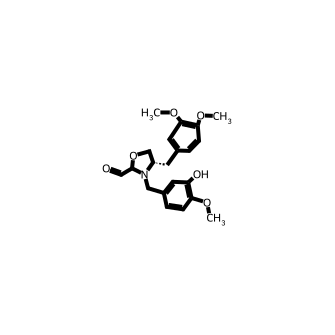 COc1ccc(CN2C(C=O)OC[C@@H]2Cc2ccc(OC)c(OC)c2)cc1O